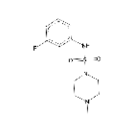 CN1CCN(S(=O)(=O)Nc2cccc(F)c2)CC1